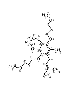 COCCCOc1c(C)c(CC=C(C)C)c(OCCCOC)c(OC)c1OC